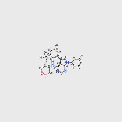 Cc1cccc(-n2cc(-c3cc(C)cc(C(C)(C)C)c3)c3c(NC4CCOCC4)ncnc32)c1